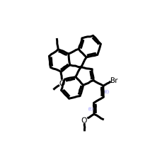 CO/C(C)=C/C=C(/Br)C1=CC2(c3ccccc31)c1ccccc1-c1c(C)ccc(OC)c12